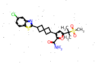 CC(C)(c1cc(C2CC3(CC(c4nc5cc(Cl)ccc5s4)C3)C2)c(C(N)=O)o1)S(C)(=O)=O